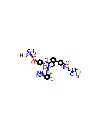 CN(C)CCNC(=O)c1ccc(-c2cccc3c2CCN(C(=O)/C=C/c2c(-n4cnnn4)ccc(Cl)c2F)C3C(=O)Nc2ccc(C(=O)OCCN(C)C)cc2)cc1